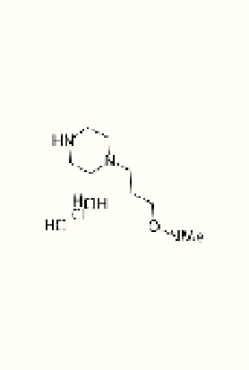 CNOCCCN1CCNCC1.Cl.Cl.Cl